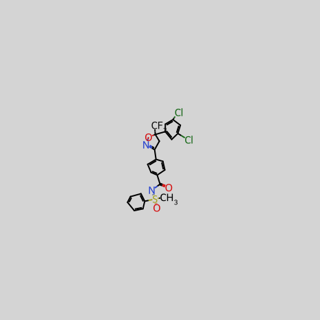 CS(=O)(=NC(=O)c1ccc(C2=NOC(c3cc(Cl)cc(Cl)c3)(C(F)(F)F)C2)cc1)c1ccccc1